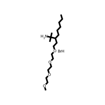 Br.CCCCCCC(CCOCCOCCOCCOC)C(C)(C)N